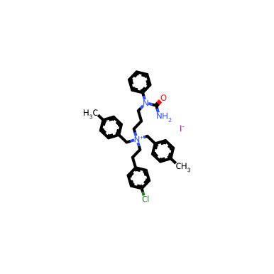 Cc1ccc(C[N+](CCCN(C(N)=O)c2ccccc2)(CCc2ccc(Cl)cc2)Cc2ccc(C)cc2)cc1.[I-]